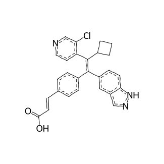 O=C(O)/C=C/c1ccc(/C(=C(\c2ccncc2Cl)C2CCC2)c2ccc3[nH]ncc3c2)cc1